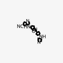 N#Cc1ccc2nccc(Nc3ccc4nc(-c5ccc(Nc6ccncc6)cc5)oc4c3)c2c1